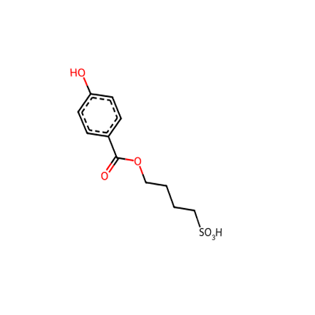 O=C(OCCCCS(=O)(=O)O)c1ccc(O)cc1